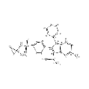 CC1(NS(=O)(=O)c2ccc(-c3c(C(N)=O)c4cc(C(F)(F)F)cnc4n3-c3ccccc3)cc2)CC1